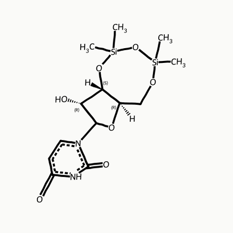 C[Si]1(C)OC[C@H]2OC(n3ccc(=O)[nH]c3=O)[C@H](O)[C@@H]2O[Si](C)(C)O1